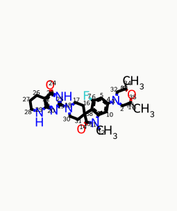 C[C@@H]1CN(c2cc(F)c3c(c2)N(C)C(=O)C32CCN(c3nc4c(c(=O)[nH]3)CCCN4)CC2)C[C@H](C)O1